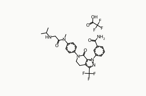 CC(C)NCC(=O)N(C)c1ccc(N2CCc3c(C(F)(F)F)nn(-c4cccc(C(N)=O)c4)c3C2=O)cc1.O=C(O)C(F)(F)F